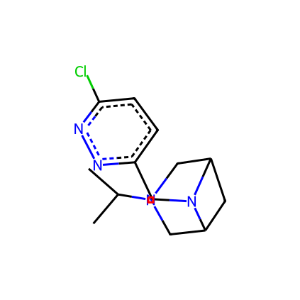 CC(C)N1CC2CC(C1)N2Cc1ccc(Cl)nn1